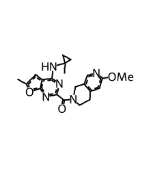 COc1cc2c(cn1)CN(C(=O)c1nc(NC3(C)CC3)c3cc(C)oc3n1)CC2